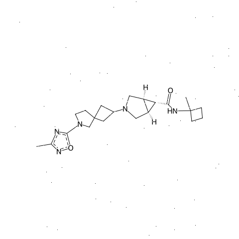 Cc1noc(N2CCC3(CC(N4C[C@@H]5[C@H](C4)[C@H]5C(=O)NC4(C)CCC4)C3)C2)n1